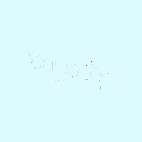 O=C(NCc1ccc(Cl)cc1)c1cc(O[C@H]2CCN3C(=O)OC[C@@H]3C2)c(C2CC2O)cn1